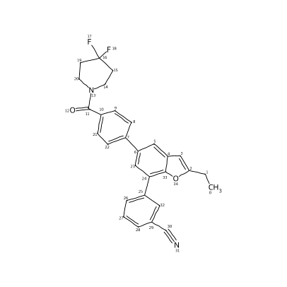 CCc1cc2cc(-c3ccc(C(=O)N4CCC(F)(F)CC4)cc3)cc(-c3cccc(C#N)c3)c2o1